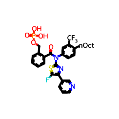 CCCCCCCCc1ccc(N(C(=O)c2ccccc2COP(=O)(O)O)c2nc(-c3cccnc3)c(F)s2)cc1C(F)(F)F